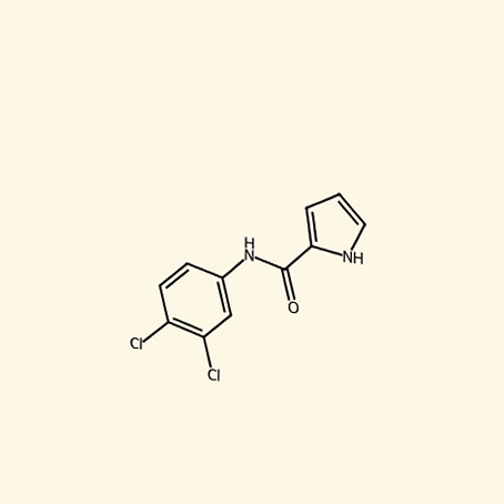 O=C(Nc1ccc(Cl)c(Cl)c1)c1ccc[nH]1